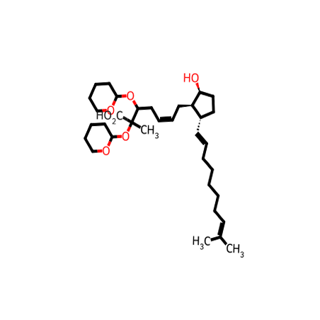 CC(C)=CCCCCC/C=C/[C@H]1CC[C@H](O)[C@@H]1C/C=C\CC(OC1CCCCO1)C(C)(OC1CCCCO1)C(=O)O